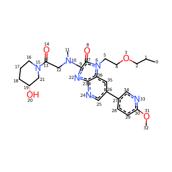 CCCOCCn1c(=O)c(N(C)CC(=O)N2CCC[C@@H](O)C2)nc2ncc(-c3ccc(OC)nc3)cc21